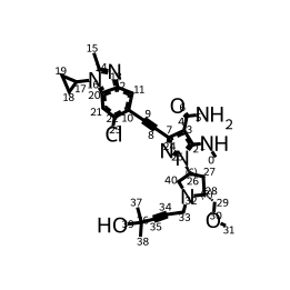 CNc1c(C(N)=O)c(C#Cc2cc3nc(C)n(C4CC4)c3cc2Cl)nn1[C@H]1C[C@H](COC)N(CC#CC(C)(C)O)C1